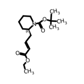 CCOC(=O)C=CC[C@H]1CCCCN1C(=O)OC(C)(C)C